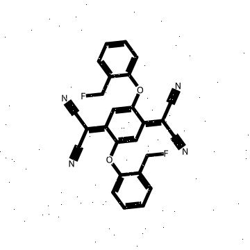 N#CC(C#N)=c1cc(Oc2ccccc2CF)c(=C(C#N)C#N)cc1Oc1ccccc1CF